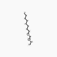 CCCCCCCCOCOCC